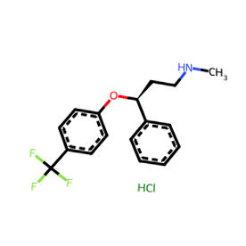 CNCC[C@H](Oc1ccc(C(F)(F)F)cc1)c1ccccc1.Cl